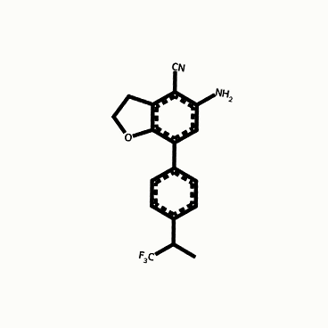 CC(c1ccc(-c2cc(N)c(C#N)c3c2OCC3)cc1)C(F)(F)F